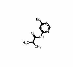 CC(C)C(=O)Nc1cc(Br)ncn1